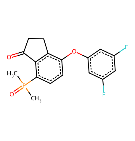 CP(C)(=O)c1ccc(Oc2cc(F)cc(F)c2)c2c1C(=O)CC2